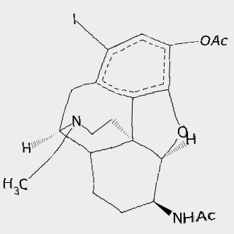 CC(=O)N[C@H]1CCC2[C@H]3Cc4c(I)cc(OC(C)=O)c5c4[C@@]2(CCN3C)[C@H]1O5